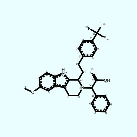 COc1ccc2[nH]c3c(c2c1)CCN(C(C(=O)O)c1ccccc1)C3CCc1ccc(C(F)(F)F)cc1